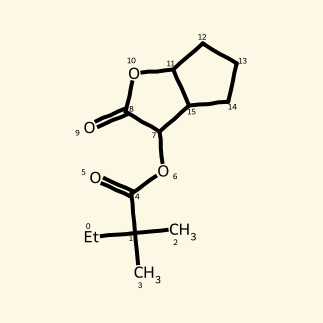 CCC(C)(C)C(=O)OC1C(=O)OC2CCCC21